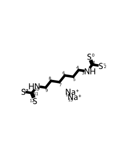 S=C([S-])NCCCCCCNC(=S)[S-].[Na+].[Na+]